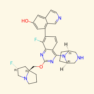 Oc1cc(-c2ccc3c(N4[C@@H]5CC[C@H]4CNC5)nc(OC[C@@]45CCCN4C[C@H](F)C5)nc3c2F)c2cnccc2c1